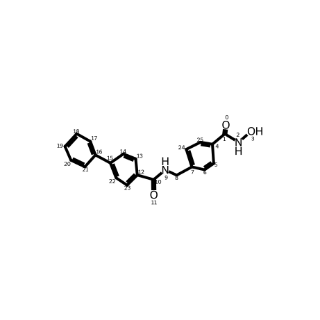 O=C(NO)c1ccc(CNC(=O)c2ccc(-c3ccccc3)cc2)cc1